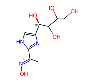 C/C(=N\O)c1nc([C@@H](O)C(O)C(O)CO)c[nH]1